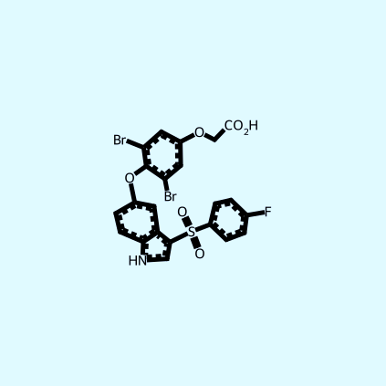 O=C(O)COc1cc(Br)c(Oc2ccc3[nH]cc(S(=O)(=O)c4ccc(F)cc4)c3c2)c(Br)c1